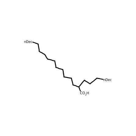 CCCCCCCCCCCCCCCCCCCCC(CCCCCCCCCCCCC)C(=O)O